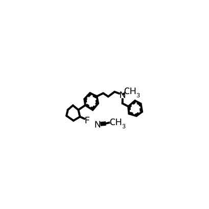 CC#N.CN(CCCc1ccc(C2CCCCC2F)cc1)Cc1ccccc1